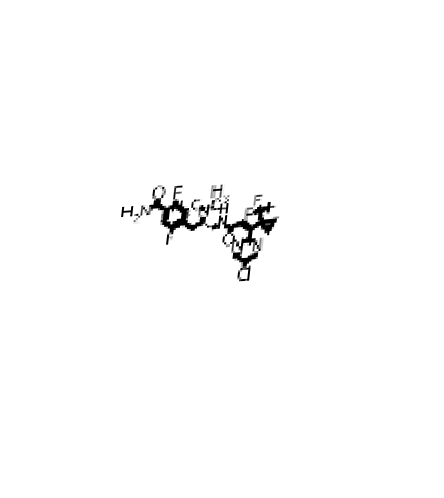 CN(C)[C@H](CNC(=O)/C=C(\c1ncc(Cl)cn1)C1(C(F)(F)F)CC1)Cc1cc(F)c(C(N)=O)cc1F